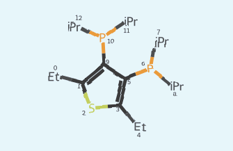 CCc1sc(CC)c(P(C(C)C)C(C)C)c1P(C(C)C)C(C)C